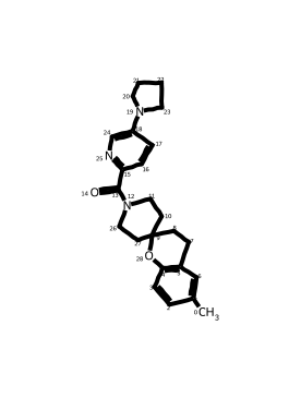 Cc1ccc2c(c1)CCC1(CCN(C(=O)c3ccc(N4CCCC4)cn3)CC1)O2